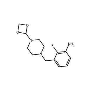 Nc1cccc(CN2CCN(C3OCO3)CC2)c1F